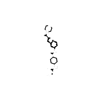 CC(C)(C)OC(=O)N[C@H]1CC[C@@H](C(=O)Nc2ccc3oc(C(=O)N4CCSCC4)cc3c2)CC1